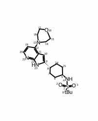 CC(C)(C)S(=O)(=O)N[C@H]1CC[C@H](c2cc3c(N4CCOCC4)ccnc3[nH]2)CC1